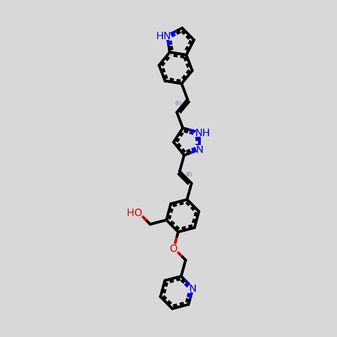 OCc1cc(/C=C/c2cc(/C=C/c3ccc4[nH]ccc4c3)[nH]n2)ccc1OCc1ccccn1